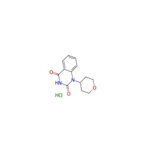 Cl.O=c1[nH]c(=O)n(C2CCOCC2)c2ccccc12